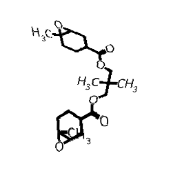 CC(C)(COC(=O)C1CCC2(C)OC2C1)COC(=O)C1CCC2(C)OC2C1